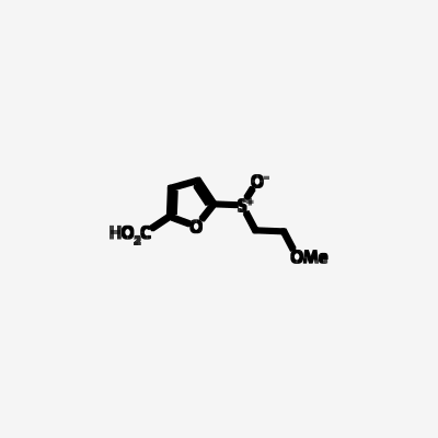 COCC[S+]([O-])c1ccc(C(=O)O)o1